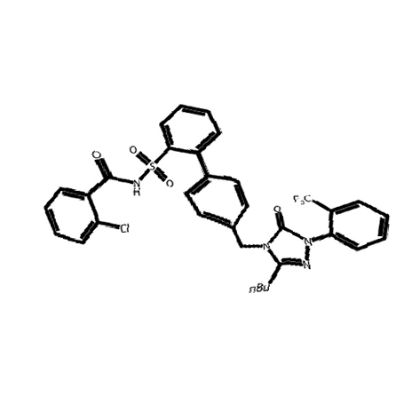 CCCCc1nn(-c2ccccc2C(F)(F)F)c(=O)n1Cc1ccc(-c2ccccc2S(=O)(=O)NC(=O)c2ccccc2Cl)cc1